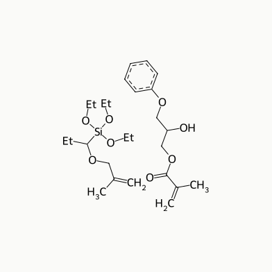 C=C(C)C(=O)OCC(O)COc1ccccc1.C=C(C)COC(CC)[Si](OCC)(OCC)OCC